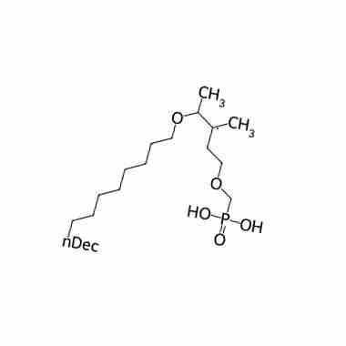 CCCCCCCCCCCCCCCCCCOC(C)[C](C)CCOCP(=O)(O)O